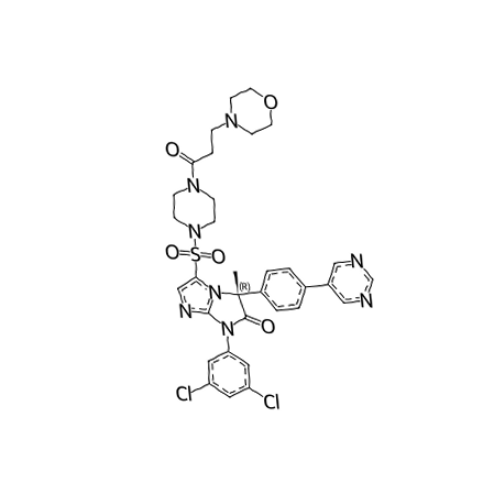 C[C@@]1(c2ccc(-c3cncnc3)cc2)C(=O)N(c2cc(Cl)cc(Cl)c2)c2ncc(S(=O)(=O)N3CCN(C(=O)CCN4CCOCC4)CC3)n21